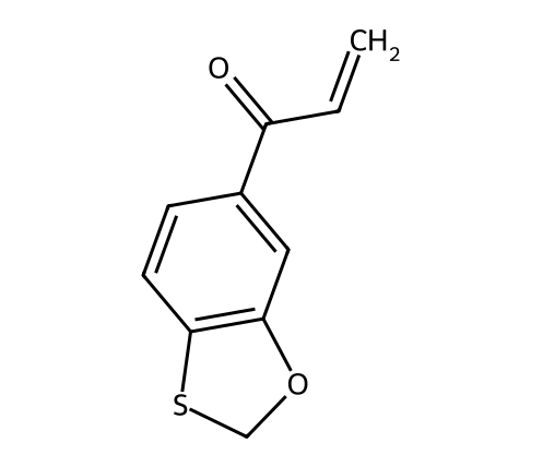 C=CC(=O)c1ccc2c(c1)OCS2